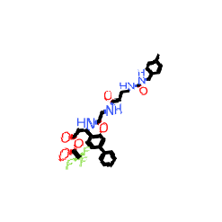 Cc1ccc(CNC(=O)NCCCC(=O)NCC(=O)NC(CC(=O)OC(=O)C(F)(F)F)c2ccc(-c3ccccc3)cc2)cc1